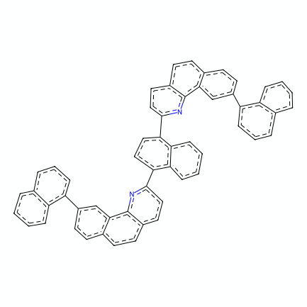 c1ccc2c(-c3ccc4ccc5ccc(-c6ccc(-c7ccc8ccc9ccc(-c%10cccc%11ccccc%10%11)cc9c8n7)c7ccccc67)nc5c4c3)cccc2c1